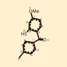 COc1ccc(C(=O)c2ccc(C)cc2)c(S)c1